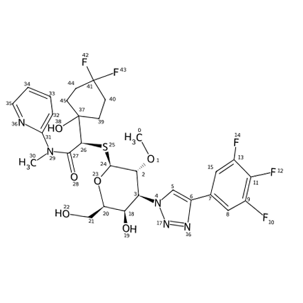 CO[C@@H]1[C@@H](n2cc(-c3cc(F)c(F)c(F)c3)nn2)[C@@H](O)[C@@H](CO)O[C@H]1S[C@@H](C(=O)N(C)c1ccccn1)C1(O)CCC(F)(F)CC1